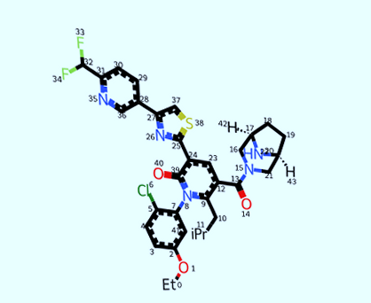 CCOc1ccc(Cl)c(-n2c(CC(C)C)c(C(=O)N3C[C@H]4CC[C@@H](C3)N4)cc(-c3nc(-c4ccc(C(F)F)nc4)cs3)c2=O)c1